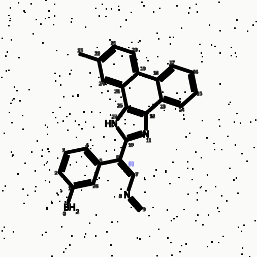 Bc1cccc(/C(=C\N=C)c2nc3c4ccccc4c4ccc(C)cc4c3[nH]2)c1